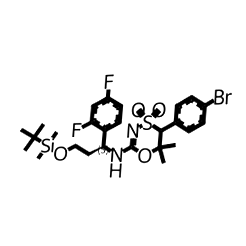 CC1(C)OC(N[C@@H](CCO[Si](C)(C)C(C)(C)C)c2ccc(F)cc2F)=NS(=O)(=O)C1c1ccc(Br)cc1